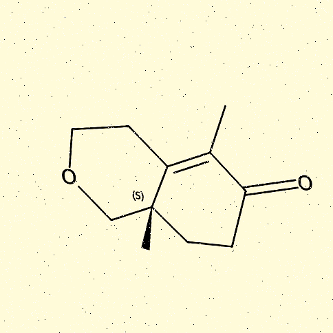 CC1=C2CCOC[C@@]2(C)CCC1=O